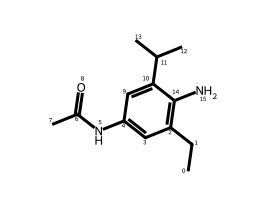 CCc1cc(NC(C)=O)cc(C(C)C)c1N